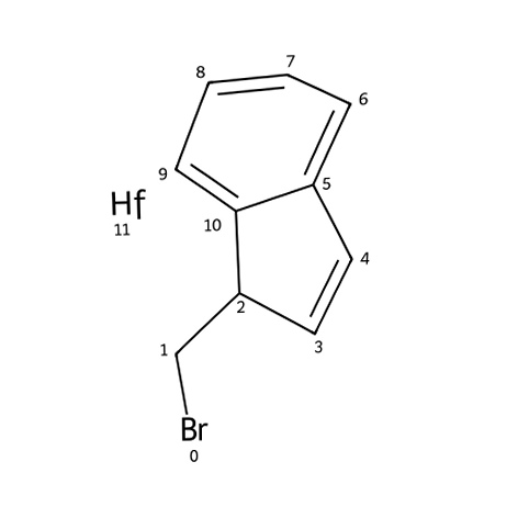 BrCC1C=Cc2ccccc21.[Hf]